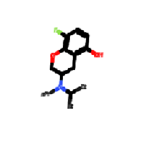 CCCN(C(CC)CC)C1COc2c(F)ccc(O)c2C1